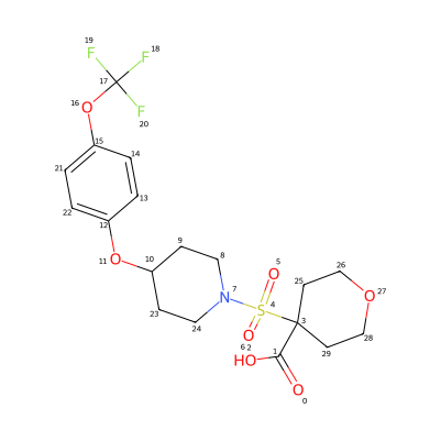 O=C(O)C1(S(=O)(=O)N2CCC(Oc3ccc(OC(F)(F)F)cc3)CC2)CCOCC1